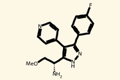 COC[C@@H](N)c1[nH]nc(-c2ccc(F)cc2)c1-c1ccncc1